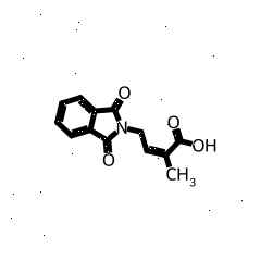 CC(=CCN1C(=O)c2ccccc2C1=O)C(=O)O